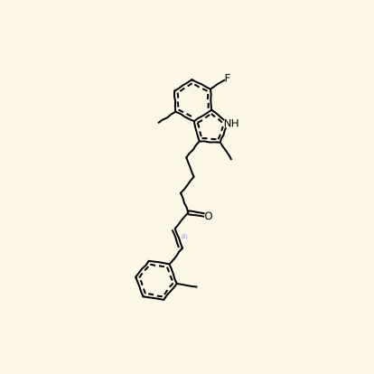 Cc1ccccc1/C=C/C(=O)CCCc1c(C)[nH]c2c(F)ccc(C)c12